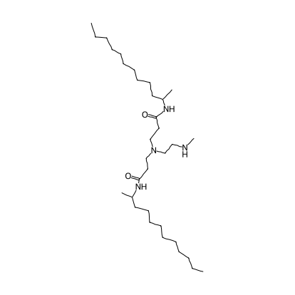 CCCCCCCCCCC(C)NC(=O)CCN(CCNC)CCC(=O)NC(C)CCCCCCCCCC